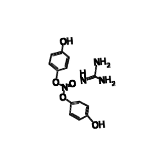 N=C(N)N.O=[N+](Oc1ccc(O)cc1)Oc1ccc(O)cc1